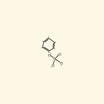 [Cl][Ti]([Cl])([Cl])[Cl].c1ccccc1